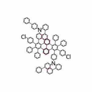 Clc1ccc(-c2c(-c3ccccc3)c(-c3ccccc3)c(-c3ccccc3-c3ccccc3-c3c(-c4ccccc4)c(-c4ccccc4)c(-c4ccc(Cl)cc4)c(-c4ccc(N(c5ccc(-c6ccccc6)cc5)c5ccccc5-c5ccccc5)cc4)c3-c3ccccc3)c(-c3ccccc3)c2-c2ccc(N(c3ccc(-c4ccccc4)cc3)c3ccccc3-c3ccccc3)cc2)cc1